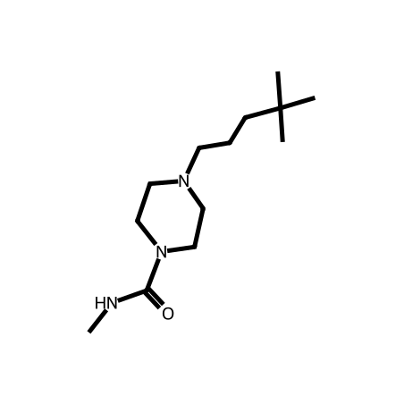 CNC(=O)N1CCN(CCCC(C)(C)C)CC1